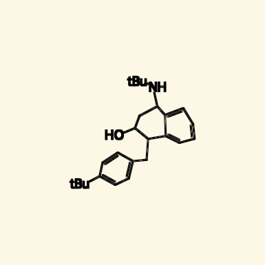 CC(C)(C)NC1CC(O)C(Cc2ccc(C(C)(C)C)cc2)c2ccccc21